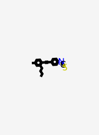 CCCCc1cc(C)ccc1C#Cc1ccc(N=C=S)cc1